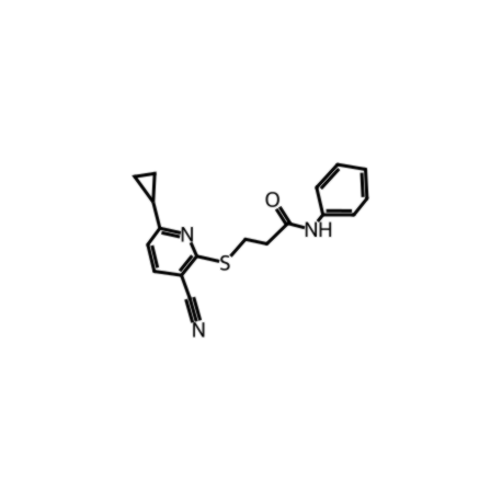 N#Cc1ccc(C2CC2)nc1SCCC(=O)Nc1ccccc1